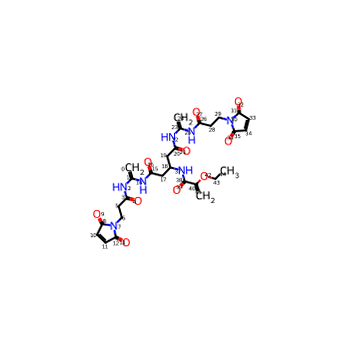 C=C(NC(=O)CCN1C(=O)C=CC1=O)NC(=O)CC(CC(=O)NC(=C)NC(=O)CCN1C(=O)C=CC1=O)NC(=O)C(=C)OCC